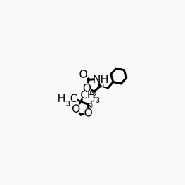 CC1(C)OCO[C@H]1C[C@@H]1OC(=O)N[C@H]1CC1CCCCC1